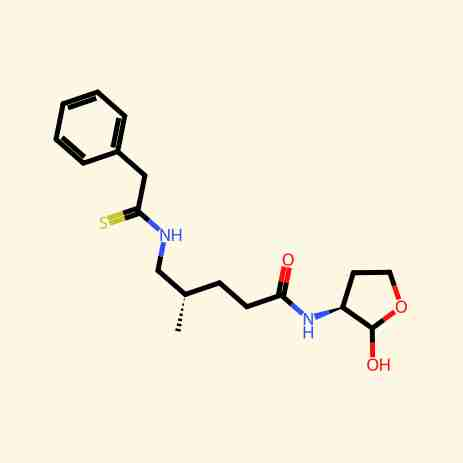 C[C@@H](CCC(=O)N[C@H]1CCOC1O)CNC(=S)Cc1ccccc1